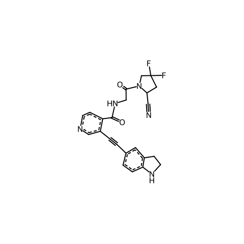 N#CC1CC(F)(F)CN1C(=O)CNC(=O)c1ccncc1C#Cc1ccc2c(c1)CCN2